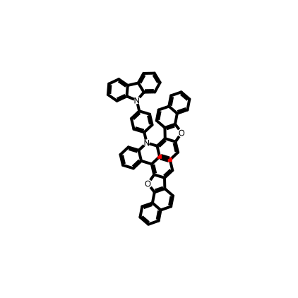 c1ccc(N(c2ccc(-n3c4ccccc4c4ccccc43)cc2)c2cccc3oc4c5ccccc5ccc4c23)c(-c2cccc3c2oc2c4ccccc4ccc32)c1